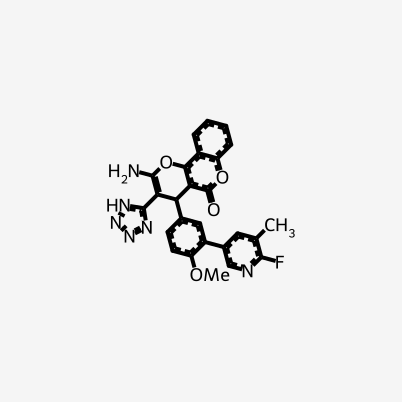 COc1ccc(C2C(c3nnn[nH]3)=C(N)Oc3c2c(=O)oc2ccccc32)cc1-c1cnc(F)c(C)c1